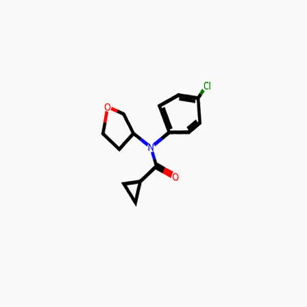 O=C(C1CC1)N(c1ccc(Cl)cc1)C1CCOC1